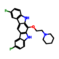 Fc1ccc2[nH]c3c(OCCN4CCCCC4)c4[nH]c5ccc(F)cc5c4cc3c2c1